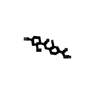 COC(=O)c1ccc(CC(=O)c2ccc(O)cc2O)c(F)c1